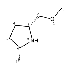 COC[C@H]1CC[C@@H](C)N1